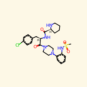 CS(=O)(=O)Nc1ccccc1N1CCN(C(=O)[C@@H](Cc2ccc(Cl)cc2)NC(=O)[C@@H]2CCCCN2)CC1